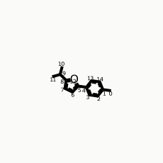 Cc1ccc(-c2ccc(C(C)C)o2)cc1